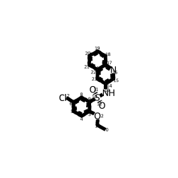 CCOc1ccc(Cl)cc1S(=O)(=O)Nc1cnc2ccccc2c1